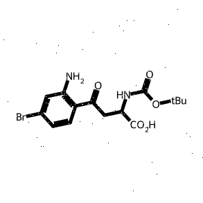 CC(C)(C)OC(=O)NC(CC(=O)c1ccc(Br)cc1N)C(=O)O